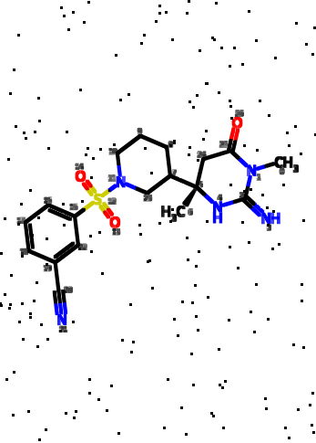 CN1C(=N)N[C@](C)(C2CCCN(S(=O)(=O)c3cccc(C#N)c3)C2)CC1=O